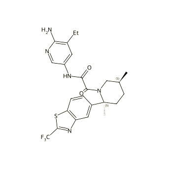 CCc1cc(NC(=O)C(=O)N2C[C@@H](C)CC[C@@]2(C)c2ccc3sc(C(F)(F)F)nc3c2)cnc1N